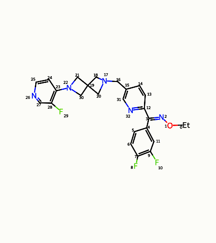 CCO/N=C(\c1ccc(F)c(F)c1)c1ccc(CN2CC3(C2)CN(c2ccncc2F)C3)cn1